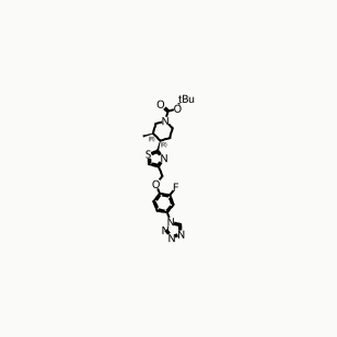 C[C@H]1CN(C(=O)OC(C)(C)C)CC[C@H]1c1nc(COc2ccc(-n3cnnn3)cc2F)cs1